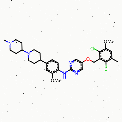 COc1cc(C2CCN(C3CCN(C)CC3)CC2)ccc1Nc1ncc(OCc2c(Cl)c(C)cc(OC)c2Cl)cn1